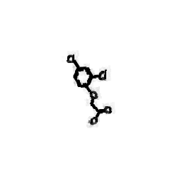 [O]C(=O)COc1ccc(Cl)cc1Cl